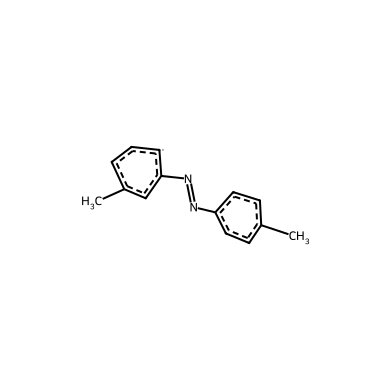 Cc1ccc(N=Nc2[c]ccc(C)c2)cc1